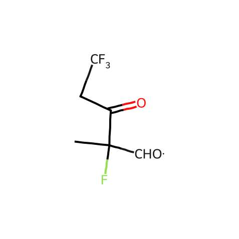 CC(F)([C]=O)C(=O)CC(F)(F)F